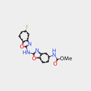 COC(=O)Nc1ccc2oc(Nc3nc4cc(F)ccc4o3)nc2c1